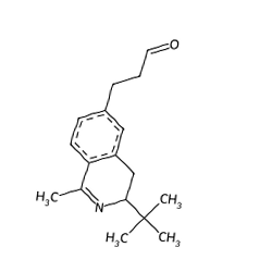 CC1=NC(C(C)(C)C)Cc2cc(CCC=O)ccc21